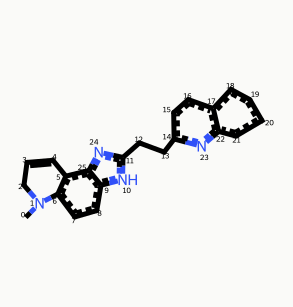 CN1CC=Cc2c1ccc1[nH]c(CCc3ccc4ccccc4n3)nc21